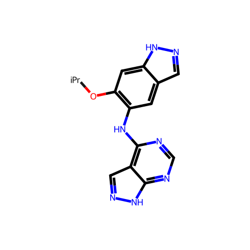 CC(C)Oc1cc2[nH]ncc2cc1Nc1ncnc2[nH]ncc12